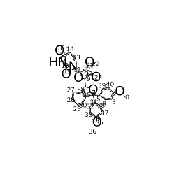 COc1ccc(C(OC[C@H]2O[C@@H](n3ccc(=O)[nH]c3=O)C(OC)C2=O)(c2ccccc2)c2ccc(OC)cc2)cc1